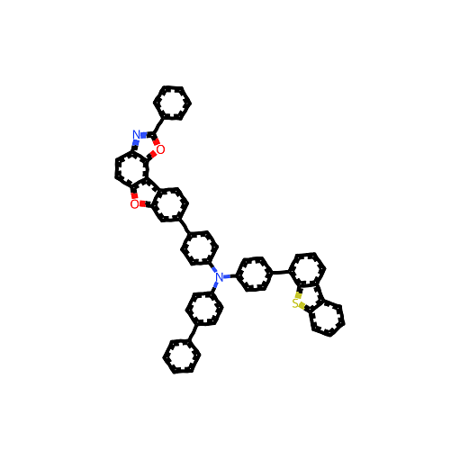 c1ccc(-c2ccc(N(c3ccc(-c4ccc5c(c4)oc4ccc6nc(-c7ccccc7)oc6c45)cc3)c3ccc(-c4cccc5c4sc4ccccc45)cc3)cc2)cc1